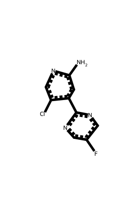 Nc1cc(-c2ncc(F)cn2)c(Cl)cn1